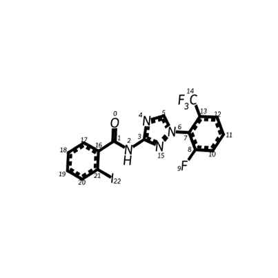 O=C(Nc1ncn(-c2c(F)cccc2C(F)(F)F)n1)c1ccccc1I